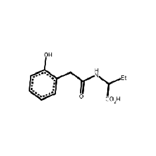 CCC(NC(=O)Cc1ccccc1O)C(=O)O